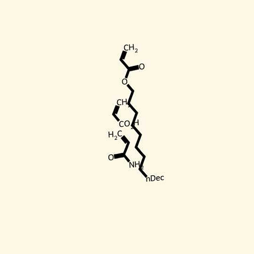 C=CC(=O)O.C=CC(=O)OCCCCCCCCCCCCCCCCCC.C=CC(N)=O